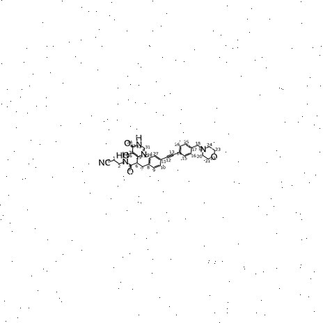 N#CCCNC(=O)C(Cc1ccc(C#Cc2ccc(CN3CCOCC3)cc2)cc1)c1nc[nH]c(=O)c1O